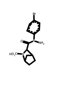 NN(C(=O)C1C2CCC(C2)N1C(=O)O)c1ccc(Br)cc1